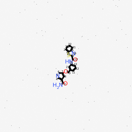 NC(=O)c1cncc(OCc2cccc(NC(=O)c3nc4ccccc4s3)c2)c1